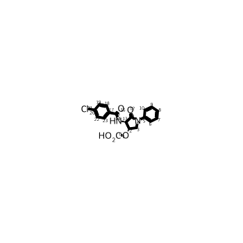 O=C(O)O[C@H]1CN(c2ccccc2)C(=O)[C@@H]1NC(=O)c1ccc(Cl)cc1